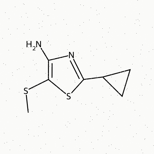 CSc1sc(C2CC2)nc1N